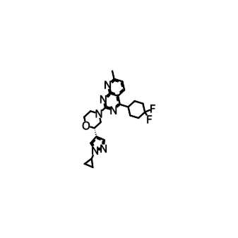 Cc1ccc2c(C3CCC(F)(F)CC3)nc(N3CCO[C@@H](c4cnn(C5CC5)c4)C3)nc2n1